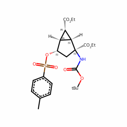 CCOC(=O)[C@H]1[C@H]2[C@@H]1[C@](NC(=O)OC(C)(C)C)(C(=O)OCC)C[C@@H]2OS(=O)(=O)c1ccc(C)cc1